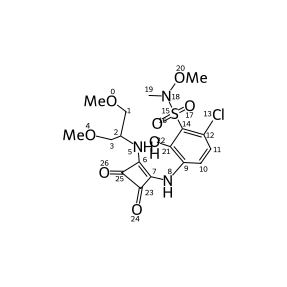 COCC(COC)Nc1c(Nc2ccc(Cl)c(S(=O)(=O)N(C)OC)c2O)c(=O)c1=O